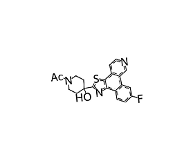 CC(=O)N1CCC(O)(c2nc3c4ccc(F)cc4c4cnccc4c3s2)CC1